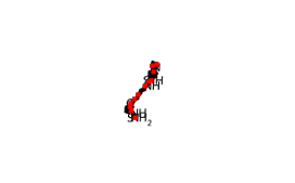 NC(=S)Nc1cccc(OCCCCCCCCNC(=S)Nc2ccc(-n3cccn3)cc2)c1